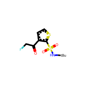 CC(C)(C)NS(=O)(=O)c1sccc1C(=O)CF